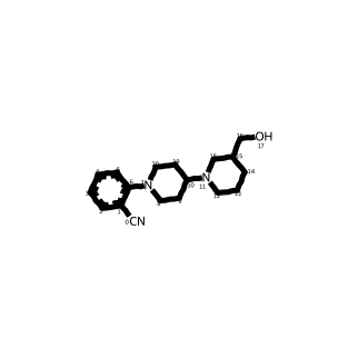 N#Cc1ccccc1N1CCC(N2CCCC(CO)C2)CC1